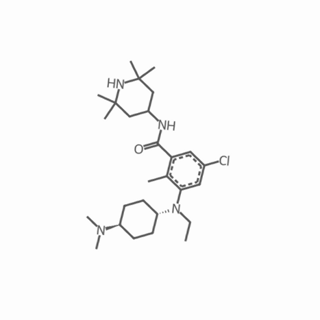 CCN(c1cc(Cl)cc(C(=O)NC2CC(C)(C)NC(C)(C)C2)c1C)[C@H]1CC[C@H](N(C)C)CC1